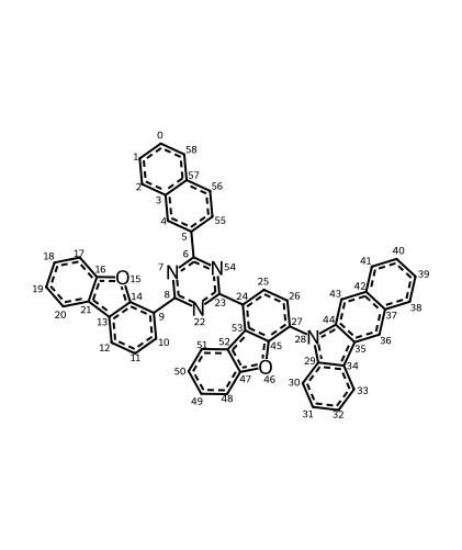 c1ccc2cc(-c3nc(-c4cccc5c4oc4ccccc45)nc(-c4ccc(-n5c6ccccc6c6cc7ccccc7cc65)c5oc6ccccc6c45)n3)ccc2c1